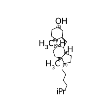 CC(C)CCCC[C@H]1CC[C@H]2C3C=C4C[C@@H](O)CC[C@]4(C)[C@H]3CC[C@]12C